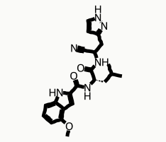 COc1cccc2[nH]c(C(=O)N[C@@H](CC(C)C)C(=O)NC(C#N)Cc3cc[nH]n3)cc12